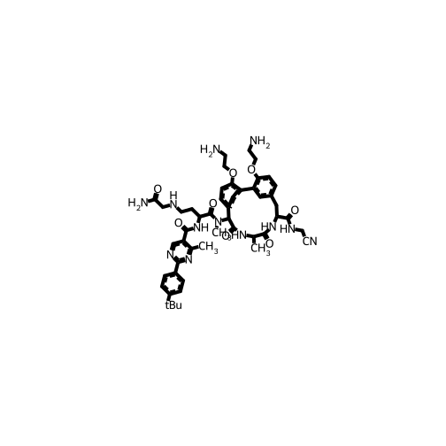 Cc1nc(-c2ccc(C(C)(C)C)cc2)ncc1C(=O)NC(CCNCC(N)=O)C(=O)N(C)C1C(=O)NC(C)C(=O)NC(C(=O)NCC#N)Cc2ccc(OCCN)c(c2)-c2cc1ccc2OCCN